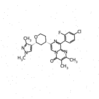 Cc1nn(C)cc1[C@H]1C[C@@H](c2cn3c(=O)c(C)c(C)nc3c(-c3ccc(Cl)cc3F)n2)CCO1